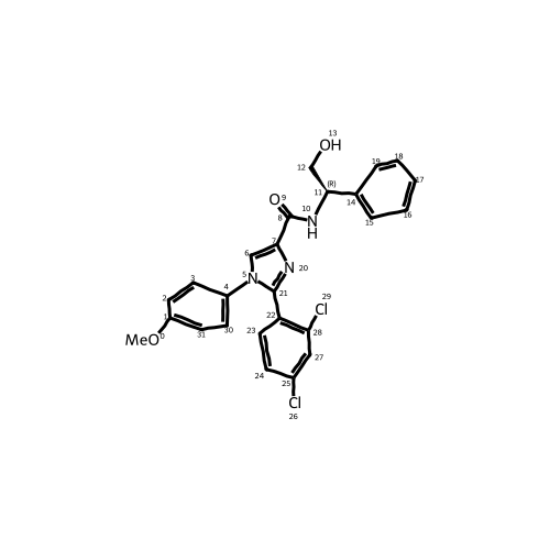 COc1ccc(-n2cc(C(=O)N[C@@H](CO)c3ccccc3)nc2-c2ccc(Cl)cc2Cl)cc1